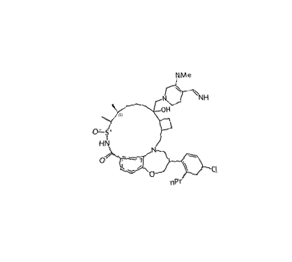 CCCC1=C(C2COc3ccc4cc3N(C2)CC2CCC2C(O)(CN2CCC(C=N)=C(NC)C2)CCC[C@H](C)C(C)[S+]([O-])NC4=O)C=CC(Cl)C1